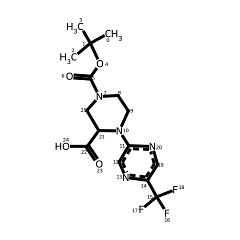 CC(C)(C)OC(=O)N1CCN(c2cnc(C(F)(F)F)cn2)C(C(=O)O)C1